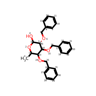 CC1OC(O)[C@H](OCc2ccccc2)C(OCc2ccccc2)C1OCc1ccccc1